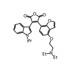 CCN(CC)CCOc1ccc(C2=C(c3cn(C(C)C)c4ccccc34)C(=O)OC2=O)c2occc12